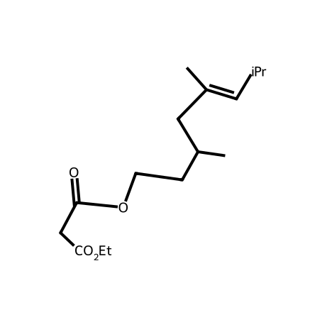 CCOC(=O)CC(=O)OCCC(C)CC(C)=CC(C)C